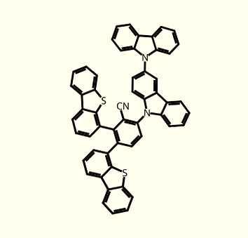 N#Cc1c(-n2c3ccccc3c3cc(-n4c5ccccc5c5ccccc54)ccc32)ccc(-c2cccc3c2sc2ccccc23)c1-c1cccc2c1sc1ccccc12